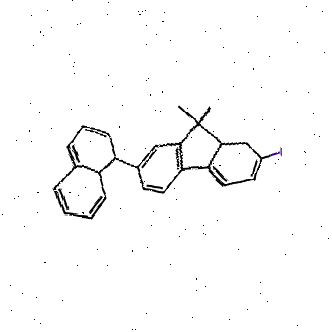 CC1(C)c2cc(C3C=CC=C4C=CC=CC43)ccc2C2=CC=C(I)CC21